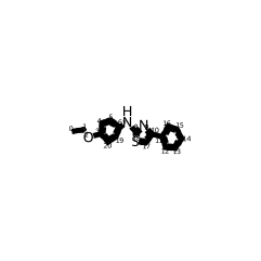 CCOc1ccc(Nc2nc(-c3ccccc3)cs2)cc1